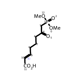 COP(=O)(CC(=O)CCC/C=C/C(=O)O)OC